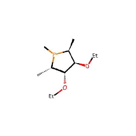 CCO[C@H]1[C@H](OCC)[C@H](C)P(C)[C@H]1C